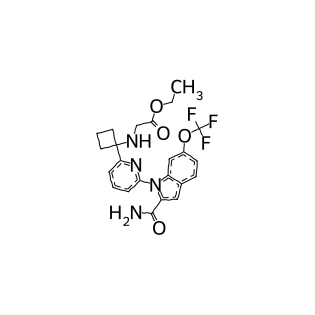 CCOC(=O)CNC1(c2cccc(-n3c(C(N)=O)cc4ccc(OC(F)(F)F)cc43)n2)CCC1